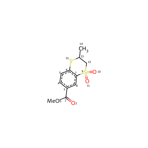 COC(=O)c1ccc2c(c1)S(=O)(=O)CC(C)S2